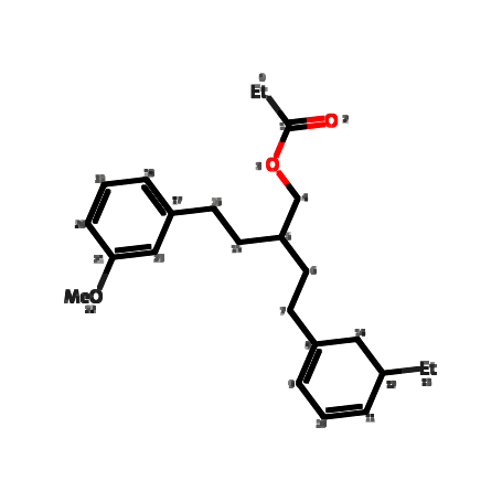 CCC(=O)OCC(CCC1=CC=CC(CC)C1)CCc1cccc(OC)c1